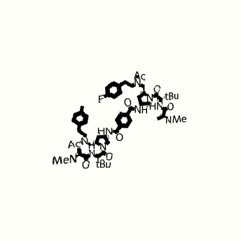 CN[C@@H](C)C(=O)N[C@H](C(=O)N1C[C@@H](NC(=O)c2ccc(C(=O)N[C@H]3C[C@@H](CN(CCc4ccc(F)cc4)C(C)=O)N(C(=O)[C@@H](NC(=O)[C@H](C)NC)C(C)(C)C)C3)cc2)C[C@H]1CN(CCc1ccc(C)cc1)C(C)=O)C(C)(C)C